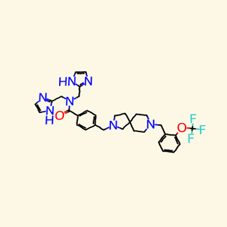 O=C(c1ccc(CN2CCC3(CCN(Cc4ccccc4OC(F)(F)F)CC3)C2)cc1)N(Cc1ncc[nH]1)Cc1ncc[nH]1